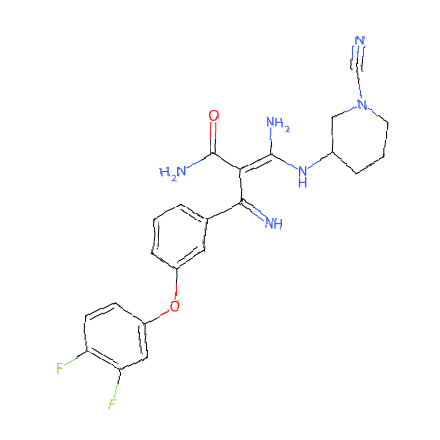 N#CN1CCCC(N/C(N)=C(\C(=N)c2cccc(Oc3ccc(F)c(F)c3)c2)C(N)=O)C1